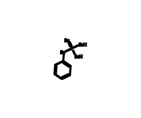 [Se]=P([SeH])([SeH])[Se]c1ccccc1